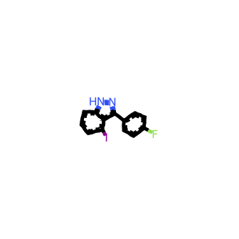 Fc1ccc(-c2n[nH]c3cccc(I)c23)cc1